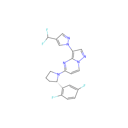 Fc1ccc(F)c([C@@H]2CCCN2c2ccn3ncc(-n4cc(C(F)F)cn4)c3n2)c1